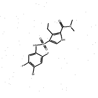 CCc1c(S(=O)(=O)Nc2cc(F)c(Br)cc2F)c[nH]c1C(=O)N(C)C